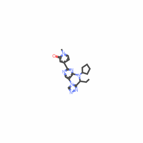 CCC1c2nncn2-c2cnc(-c3ccn(C)c(=O)c3)nc2N1C1CCCC1